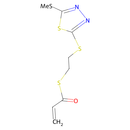 C=CC(=O)SCCSc1nnc(SC)s1